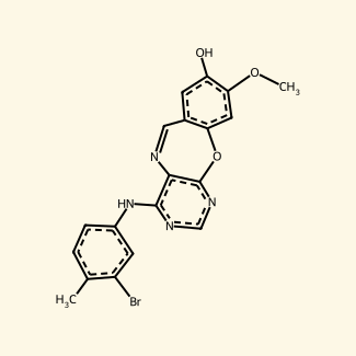 COc1cc2c(cc1O)C=Nc1c(Nc3ccc(C)c(Br)c3)ncnc1O2